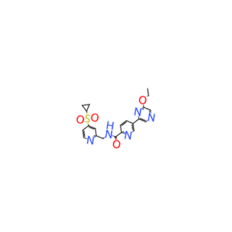 CCOc1cncc(-c2ccc(C(=O)NCc3cc(S(=O)(=O)C4CC4)ccn3)nc2)n1